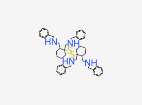 c1ccc(CNCC2CCCCC2(CNCc2ccccc2)SSC2(CNCc3ccccc3)CCCCC2CNCc2ccccc2)cc1